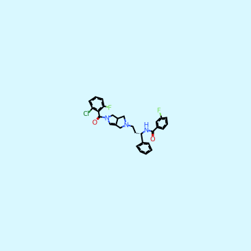 O=C(N[C@@H](CCN1CC2=CN(C(=O)c3c(F)cccc3Cl)CC2C1)c1ccccc1)c1cccc(F)c1